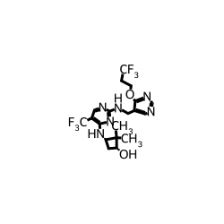 CC1(C)[C@@H](Nc2nc(NCc3cncnc3OCCC(F)(F)F)ncc2C(F)(F)F)C[C@@H]1O